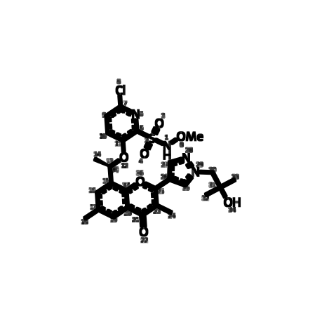 CONS(=O)(=O)c1nc(Cl)ccc1O[C@H](C)c1cc(C)cc2c(=O)c(C)c(-c3cnn(CC(C)(C)O)c3)oc12